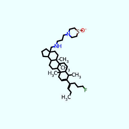 CC/C=C(\CCCF)C1=CCC2(C)C(CCC3(C)C2CCC2C4CCCC4(CNCCCN4CC[S+]([O-])CC4)CC[C@]23C)C1C